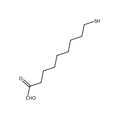 O=CC(=O)CCCCCCCCS